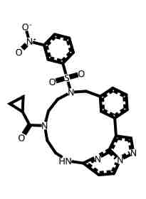 O=C(C1CC1)N1CCNc2ccn3ncc(c3n2)-c2cccc(c2)CN(S(=O)(=O)c2cccc([N+](=O)[O-])c2)CC1